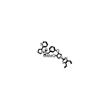 C=Cc1nc(N2CC(OC)C(Oc3cccc(CS(=O)(=O)N4CCCC4c4ccccn4)c3)C2)sc1C=C